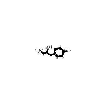 NCC(O)Cc1ccc(F)cc1